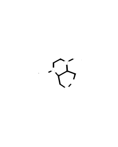 CN1CCN(C(=O)O)C2CSSCC21